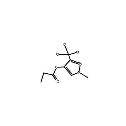 CCC(=O)Oc1cn(C)nc1C(Cl)(Cl)Cl